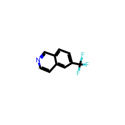 FC(F)(F)c1ccc2cn[c]cc2c1